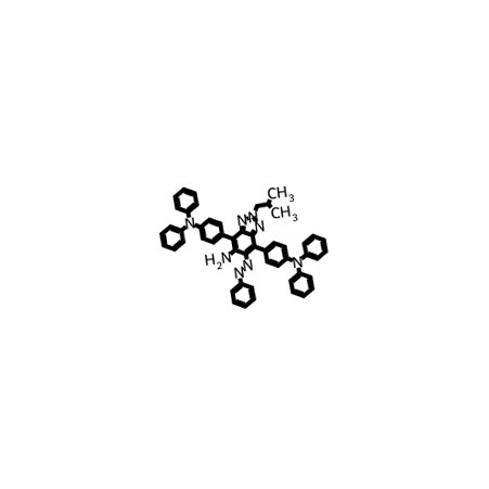 CC(C)Cn1nc2c(-c3ccc(N(c4ccccc4)c4ccccc4)cc3)c(N)c(N=Nc3ccccc3)c(-c3ccc(N(c4ccccc4)c4ccccc4)cc3)c2n1